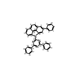 c1ccc(-c2cc3ccc4cccc5c4c3c(c2)n5-c2nc(-c3ccccc3)nc(-c3ccccc3)n2)cc1